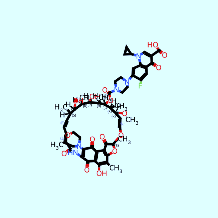 CO[C@H]1/C=C/O[C@@]2(C)Oc3c(C)c(O)c4c(c3C2=O)C(=O)C(N2CCOCC2)=C(NC(=O)/C(C)=C\C=C\[C@H](C)[C@H](O)[C@@H](C)[C@@H](O)[C@@H](C)[C@H](OC(=O)N2CCN(c3cc5c(cc3F)c(=O)c(C(=O)O)cn5C3CC3)CC2)[C@@H]1C)C4=O